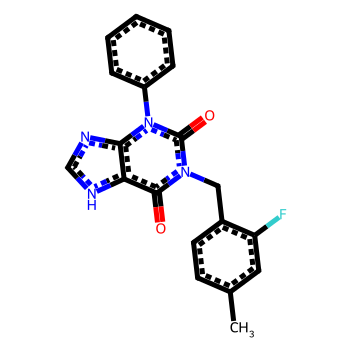 Cc1ccc(Cn2c(=O)c3[nH]cnc3n(-c3ccccc3)c2=O)c(F)c1